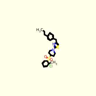 CCCc1ccc(Cc2csc(N3CCC(S(=O)(=O)C4C=CC=CC4(C)Cl)CC3)n2)cc1